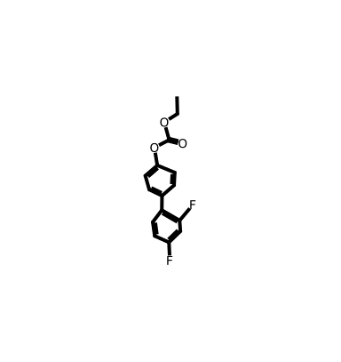 CCOC(=O)Oc1ccc(-c2ccc(F)cc2F)cc1